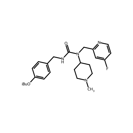 CC(C)COc1ccc(CNC(=O)N(Cc2cc(F)ccn2)C2CCN(C)CC2)cc1